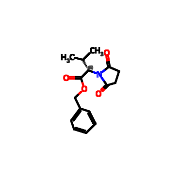 CC(C)[C@@H](C(=O)OCc1ccccc1)N1C(=O)CCC1=O